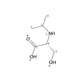 CC(C)N[C@H](CO)C(=O)O